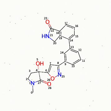 CN1CC[C@@](O)(c2cc(-c3cccc(-c4cccc5c4CNC5=O)c3)no2)C1=O